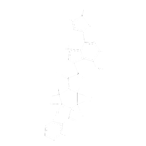 [2H]C1([2H])N(C(=O)C(=O)c2c[nH]c3c(-n4cnc(C)n4)ncc(OC)c23)C([2H])([2H])C([2H])([2H])N(C(=O)c2ccccn2)C1([2H])[2H]